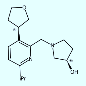 CC(C)c1ccc([C@H]2CCOC2)c(CN2CC[C@@H](O)C2)n1